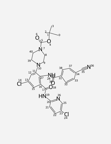 CC(C)(C)OC(=O)N1CCN(c2cc(Cl)cc(C(=O)Nc3ccc(Cl)cn3)c2NC(=O)c2ccc(C#N)cc2)CC1